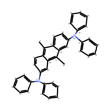 Cc1c2ccc(N(c3ccccc3)c3ccccc3)cc2c(C)c2cc(N(c3ccccc3)c3ccccc3)ccc12